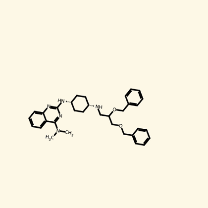 CN(C)c1nc(N[C@H]2CC[C@@H](NCC(COCc3ccccc3)OCc3ccccc3)CC2)nc2ccccc12